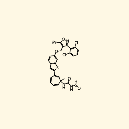 CC(C)c1onc(-c2c(Cl)cccc2Cl)c1COc1ccc2cc(C3=CC(C)(NC(=O)N[SH]=O)C=CC=C3)sc2c1